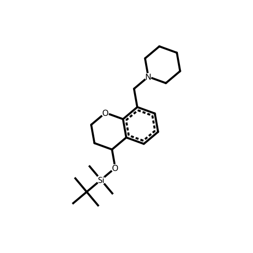 CC(C)(C)[Si](C)(C)OC1CCOc2c(CN3CCCCC3)cccc21